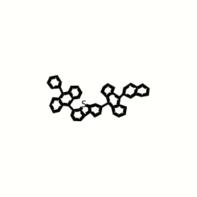 c1ccc(-c2c3ccccc3c(-c3cccc4c3sc3cc(-c5c6ccccc6c(-c6ccc7ccccc7c6)c6ccccc56)ccc34)c3ccccc23)cc1